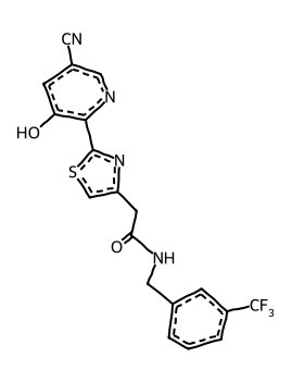 N#Cc1cnc(-c2nc(CC(=O)NCc3cccc(C(F)(F)F)c3)cs2)c(O)c1